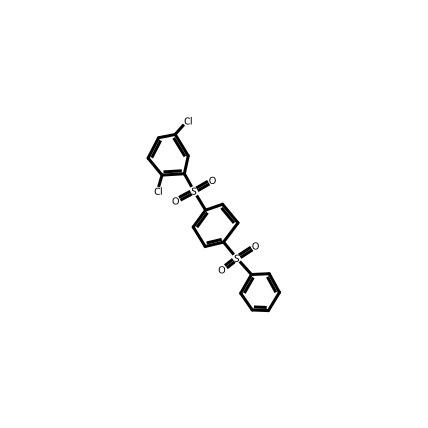 O=S(=O)(c1ccccc1)c1ccc(S(=O)(=O)c2cc(Cl)ccc2Cl)cc1